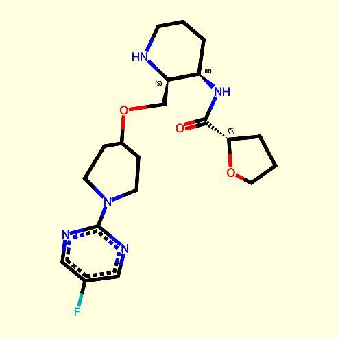 O=C(N[C@@H]1CCCN[C@@H]1COC1CCN(c2ncc(F)cn2)CC1)[C@@H]1CCCO1